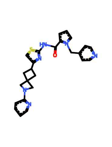 O=C(Nc1nc(C2CC3(C2)CN(c2ccccn2)C3)cs1)c1cccn1Cc1ccncc1